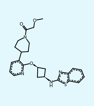 COCC(=O)N1CCC(c2cccnc2O[C@H]2C[C@@H](Nc3nc4ccccc4s3)C2)CC1